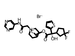 O=C(C[N+]12CCC(CC1)C(OC(=O)[C@@](O)(c1cccs1)C1CCC(F)(F)C1)C2)Nc1cncnc1.[Br-]